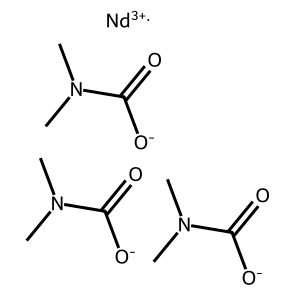 CN(C)C(=O)[O-].CN(C)C(=O)[O-].CN(C)C(=O)[O-].[Nd+3]